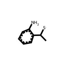 CC([S])c1ccccc1N